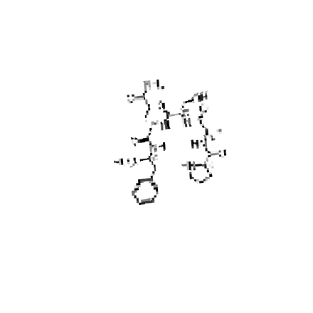 C[C@H](NC(=O)[C@@H]1CCCN1)C(=O)N[C@@H](CO)C(=O)N[C@@H](CCC(N)=O)C(=O)N[C@@H](Cc1ccccc1)C(=O)O